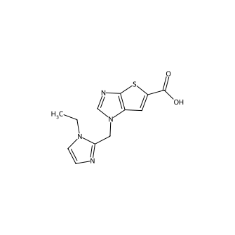 CCn1ccnc1Cn1cnc2sc(C(=O)O)cc21